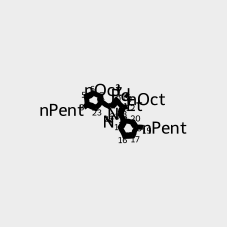 CCCCCCC[CH2][Pd][CH2]CCCCCCC.CCCCCc1cccc(C2=CC(CC)=C(c3cccc(CCCCC)c3)[N+]2=[N-])c1